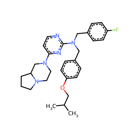 CC(C)COc1ccc(CN(Cc2ccc(F)cc2)c2nccc(N3CCN4CCCC4C3)n2)cc1